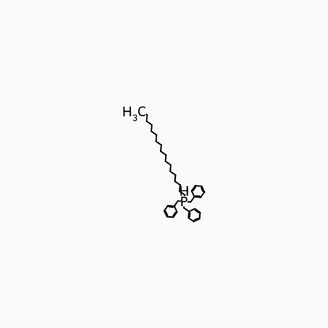 CCCCCCCCCCCCCCCCCC[PH](Cc1ccccc1)(Cc1ccccc1)Cc1ccccc1